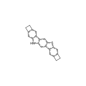 c1c2c(cc3c1[nH]c1cc4c(cc13)sc1cc3c(cc14)CC3)CC2